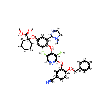 COC(=O)C1(Oc2ccc(Oc3c(F)cnc(Oc4cc(C#N)ccc4OCc4ccccc4)c3F)c(C3N=CCN3C)c2)CCCCC1